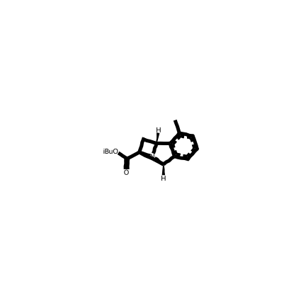 Cc1cccc2c1[C@H]1CC3(C(=O)OCC(C)C)[C@@H]2N13